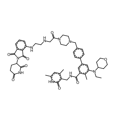 CCN(c1cc(-c2ccc(CN3CCN(C(=O)CNCCNc4cccc5c4C(=O)N(C4CCC(=O)NC4=O)C5=O)CC3)cc2)cc(C(=O)NCc2c(C)cc(C)[nH]c2=O)c1C)C1CCOCC1